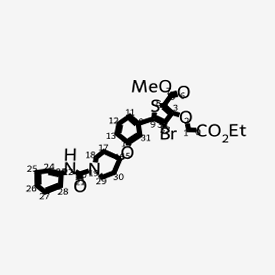 CCOC(=O)COc1c(C(=O)OC)sc(-c2cccc(OC3CCN(C(=O)Nc4ccccc4)CC3)c2)c1Br